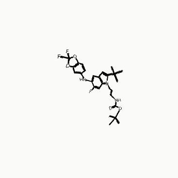 CC(C)(C)OC(=O)NCCn1c(C(C)(C)C)cc2cc(Nc3ccc4c(c3)OC(F)(F)O4)c(F)cc21